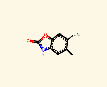 Cc1cc2[nH]c(=O)oc2cc1C=O